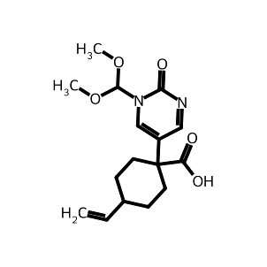 C=CC1CCC(C(=O)O)(c2cnc(=O)n(C(OC)OC)c2)CC1